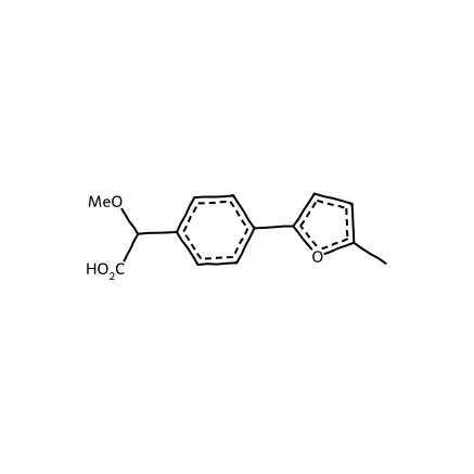 COC(C(=O)O)c1ccc(-c2ccc(C)o2)cc1